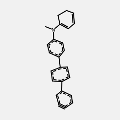 CN(C1=CC=CCC1)c1ccc(-c2ccc(-c3cc#ccc3)cc2)cc1